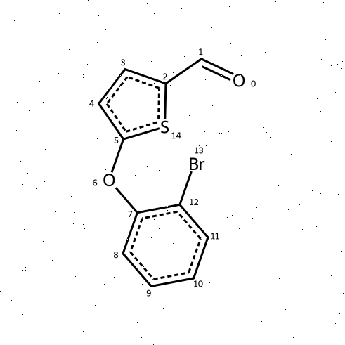 O=Cc1ccc(Oc2ccccc2Br)s1